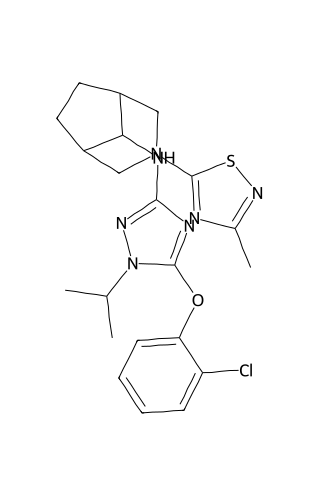 Cc1nsc(N2CC3CCC(C2)C3Nc2nc(Oc3ccccc3Cl)n(C(C)C)n2)n1